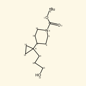 CC(C)(C)OC(=O)N1CCC(C2(CCCO)CC2)CC1